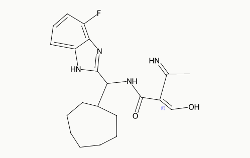 CC(=N)/C(=C\O)C(=O)NC(c1nc2c(F)cccc2[nH]1)C1CCCCCCC1